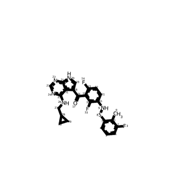 Cc1c(F)cccc1SNc1ccc(F)c(C(=O)c2c[nH]c3ncnc(NCC4CC4)c23)c1F